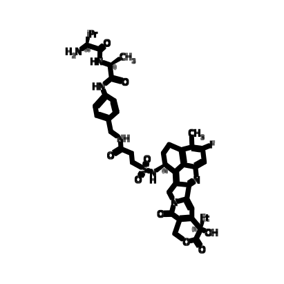 CC[C@@]1(O)C(=O)OCc2c1cc1n(c2=O)Cc2c-1nc1cc(F)c(C)c3c1c2[C@@H](NS(=O)(=O)CCC(=O)NCc1ccc(NC(=O)[C@H](C)NC(=O)[C@@H](N)C(C)C)cc1)CC3